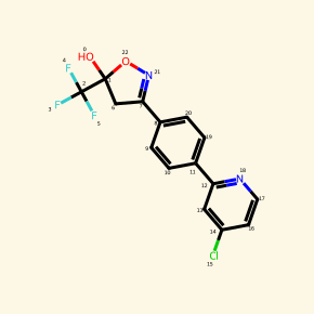 OC1(C(F)(F)F)CC(c2ccc(-c3cc(Cl)ccn3)cc2)=NO1